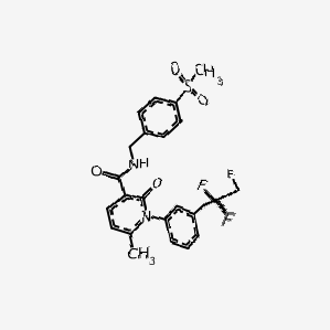 Cc1ccc(C(=O)NCc2ccc(S(C)(=O)=O)cc2)c(=O)n1-c1cccc(C(F)(F)CF)c1